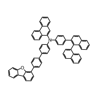 c1ccc2c(-c3c(-c4ccc(N(c5ccc(-c6ccc(-c7cccc8c7oc7ccccc78)cc6)cc5)c5cc6ccccc6c6ccccc56)cc4)ccc4ccccc34)cccc2c1